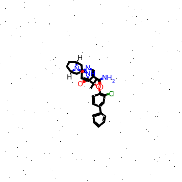 CC(C)(Oc1ccc(-c2ccccc2)cc1Cl)C(=O)N[C@H]1C[C@H]2CC[C@@H](C1)N2c1ccc(C(N)=O)cn1